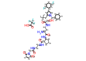 CC(C)(C)[C@H](c1cc(-c2cc(F)ccc2F)cn1Cc1ccccc1)C(O)C(=O)NCC[C@H](N)C(=O)N[C@H]1CCC[C@H]1C(=O)NCCNC(=O)CN1C(=O)C=CC1=O.O=C(O)C(F)(F)F